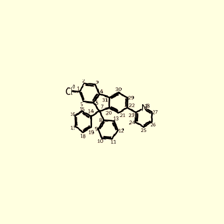 Clc1ccc2c(c1)C(c1ccccc1)(c1ccccc1)c1cc(-c3ccccn3)ccc1-2